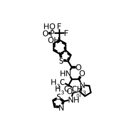 CC(C)(C)C(NC(=O)c1cc2cc(C(F)(F)P(=O)(O)O)ccc2s1)C(=O)N1CCC[C@H]1C(=O)Nc1nccs1